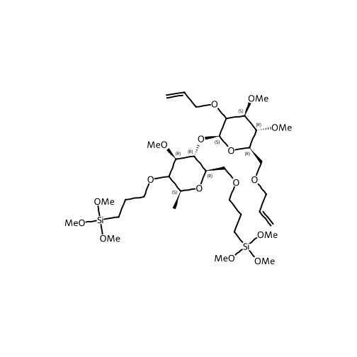 C=CCOC[C@H]1O[C@@H](O[C@H]2[C@H](OC)C(OCCC[Si](OC)(OC)OC)[C@H](C)O[C@@H]2COCCC[Si](OC)(OC)OC)C(OCC=C)[C@@H](OC)[C@@H]1OC